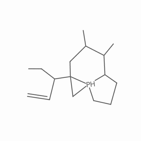 C=CC(CC)C12CC(C)C(C)C3CCC[PH]31C2